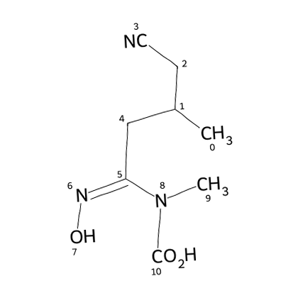 CC(CC#N)CC(=NO)N(C)C(=O)O